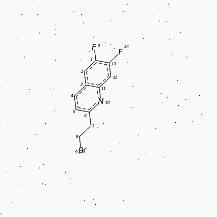 Fc1cc2ccc(CCBr)nc2cc1F